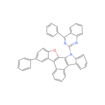 c1ccc(-c2ccc3oc4c(c3c2)c2ccccc2c2c3ccccc3n(-c3nc(-c5ccccc5)c5ccccc5n3)c42)cc1